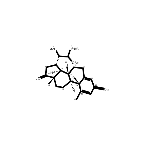 CCCCCC(OC(C)=O)C(OC(C)=O)[C@H]1CC(=O)[C@@]2(C)CC[C@H]3[C@@H](CCC4=CC(=O)C=C(C)[C@@]43C)[C@H]12